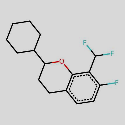 Fc1ccc2c(c1C(F)F)OC(C1CCCCC1)CC2